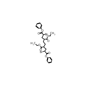 CCOC(=O)C(CCC(CC(Br)C(=O)Oc1ccccc1)C(=O)OCC)CC(Br)C(=O)Oc1ccccc1